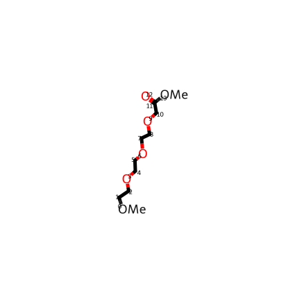 COCCOCCOCCOCC(=O)OC